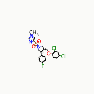 Cn1cnc(S(=O)(=O)N2C[C@@H](COc3ccc(Cl)cc3Cl)[C@H](c3ccc(F)cc3)C2)c1